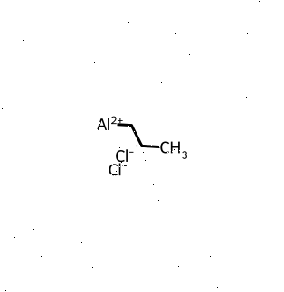 C[CH][CH2][Al+2].[Cl-].[Cl-]